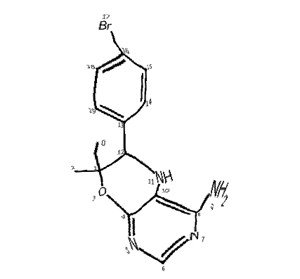 CC1(C)Oc2ncnc(N)c2NC1c1ccc(Br)cc1